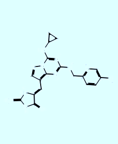 C=c1[nH]c(=O)/c(=C/c2cnn3c(NC4CC4)nc(OCc4ccc(CC)cn4)nc23)[nH]1